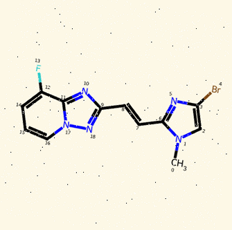 Cn1cc(Br)nc1C=Cc1nc2c(F)cccn2n1